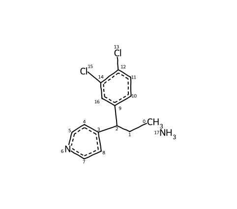 CCC(c1ccncc1)c1ccc(Cl)c(Cl)c1.N